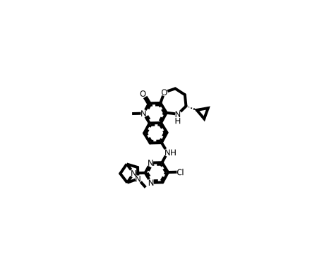 CN1CC2CC1N2c1ncc(Cl)c(Nc2ccc3c(c2)c2c(c(=O)n3C)OCC[C@H](C3CC3)N2)n1